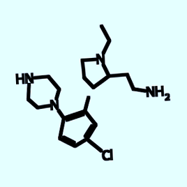 CCN1CCCC1CCN.Cc1cc(Cl)ccc1N1CCNCC1